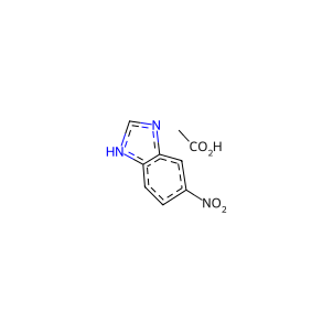 CC(=O)O.O=[N+]([O-])c1ccc2[nH]cnc2c1